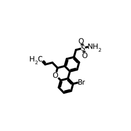 C=CCC1Oc2cccc(Br)c2-c2ccc(CS(N)(=O)=O)cc21